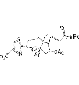 CCCCCC(=O)/C=C/[C@@H]1[C@H]2CC[C@H](c3nc(C(=O)O)cs3)O[C@H]2C[C@H]1OC(C)=O